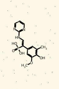 COc1cc(C(=CNc2ncccn2)P(=O)(O)O)cc(C)c1O